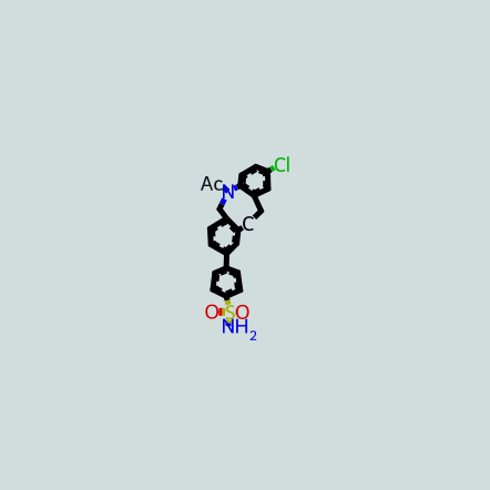 CC(=O)N1Cc2ccc(-c3ccc(S(N)(=O)=O)cc3)cc2CCc2cc(Cl)ccc21